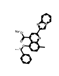 Cc1ccc(O[C@@H](C)c2ccccc2)c2c(C(=O)[O-])cc(-c3cn4ccccc4n3)nc12.[Na+]